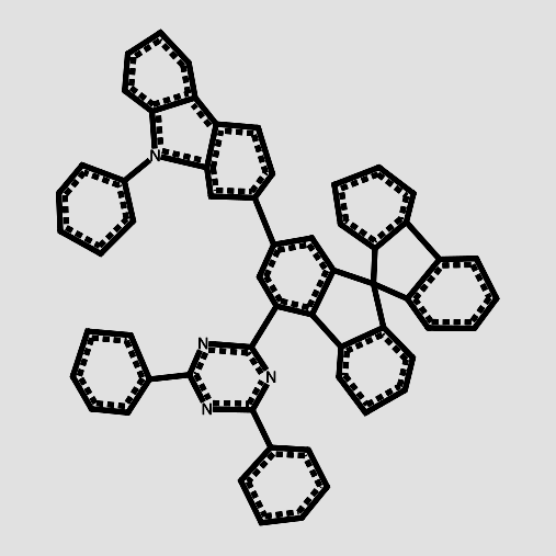 c1ccc(-c2nc(-c3ccccc3)nc(-c3cc(-c4ccc5c6ccccc6n(-c6ccccc6)c5c4)cc4c3-c3ccccc3C43c4ccccc4-c4ccccc43)n2)cc1